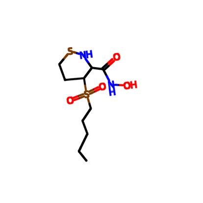 CCCCCS(=O)(=O)C1CCSNC1C(=O)NO